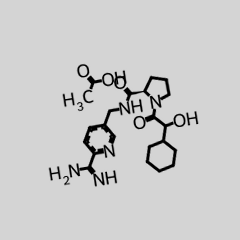 CC(=O)O.N=C(N)c1ccc(CNC(=O)[C@H]2CCCN2C(=O)C(O)C2CCCCC2)cn1